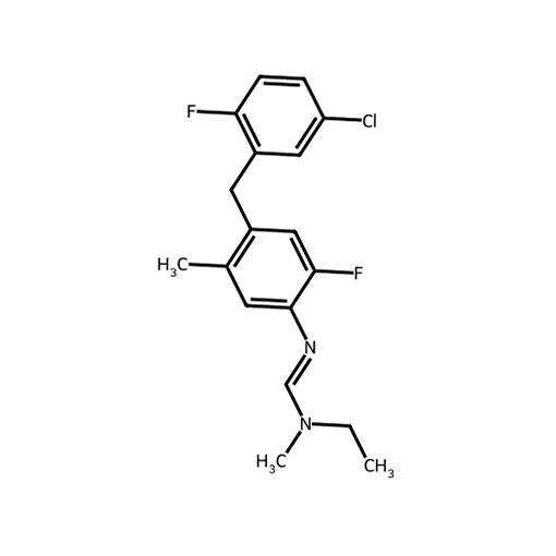 CCN(C)C=Nc1cc(C)c(Cc2cc(Cl)ccc2F)cc1F